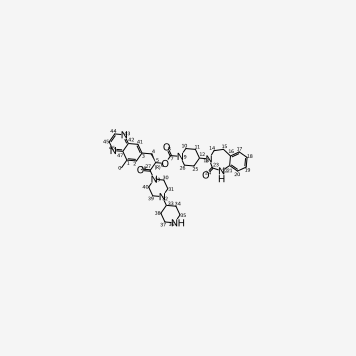 Cc1cc(C[C@@H](OC(=O)N2CCC(N3CCc4ccccc4NC3=O)CC2)C(=O)N2CCN(C3CCNCC3)CC2)cc2nccnc12